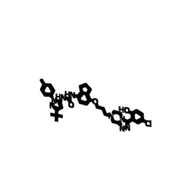 Cc1ccc(-n2nc(C(C)(C)C)cc2NC(=O)Nc2ccc(OCCCN3CCn4c(nnc4-c4cc(Cl)ccc4O)C3)c3c2CCC3)cc1